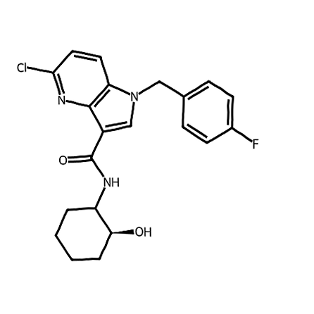 O=C(NC1CCCC[C@@H]1O)c1cn(Cc2ccc(F)cc2)c2ccc(Cl)nc12